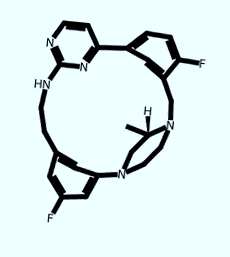 C[C@H]1CN2CCN1Cc1cc(ccc1F)-c1ccnc(n1)NCCc1cc(F)cc2c1